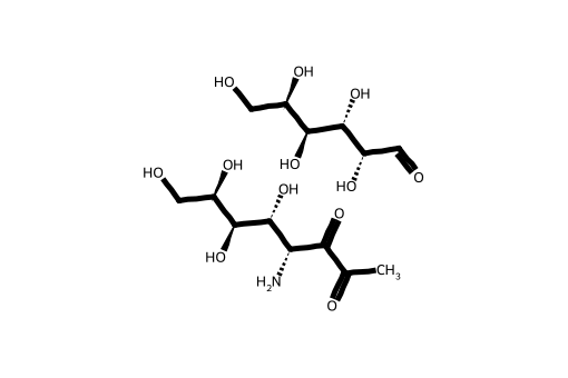 CC(=O)C(=O)[C@H](N)[C@@H](O)[C@@H](O)[C@H](O)CO.O=C[C@H](O)[C@@H](O)[C@@H](O)[C@H](O)CO